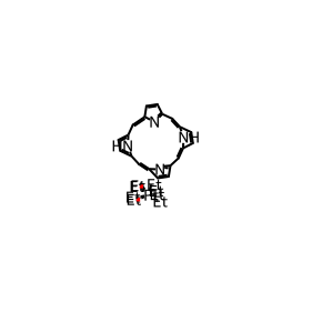 C1=Cc2cc3ccc(cc4nc(cc5ccc(cc1n2)[nH]5)C=C4)[nH]3.C[CH2][Pt]([CH2]C)([CH2]C)([CH2]C)([CH2]C)([CH2]C)([CH2]C)[CH2]C